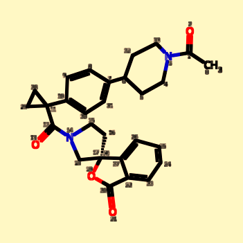 CC(=O)N1CCC(c2ccc(C3(C(=O)N4CC[C@@]5(C4)OC(=O)c4ccccc45)CC3)cc2)CC1